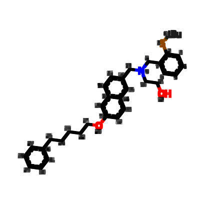 CC(C)(C)Sc1ccccc1CN(CCO)Cc1ccc2cc(OCCCCCc3ccccc3)ccc2c1